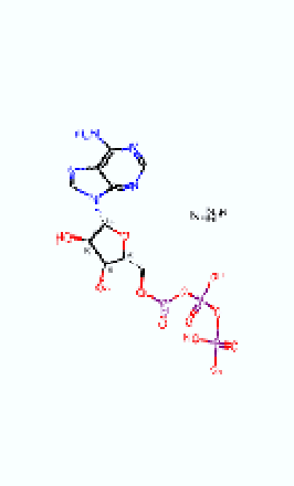 Nc1ncnc2c1ncn2[C@@H]1O[C@H](CO[PH](=O)OP(=O)(O)OP(=O)(O)O)[C@@H](O)[C@H]1O.[NaH].[NaH]